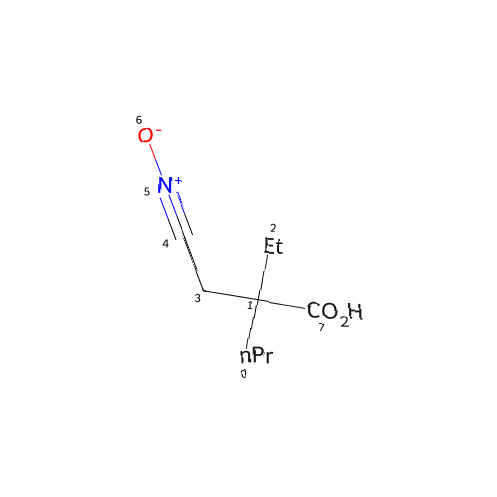 CCCC(CC)(CC#[N+][O-])C(=O)O